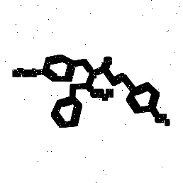 CCCCCc1ccc(CN(C(=O)C=Cc2ccc(C(F)(F)F)cc2)C(Cc2ccccc2)C(=O)O)cc1